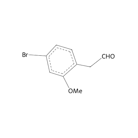 COc1cc(Br)ccc1CC=O